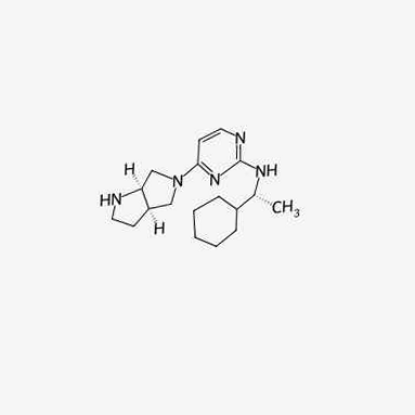 C[C@@H](Nc1nccc(N2C[C@H]3CCN[C@H]3C2)n1)C1CCCCC1